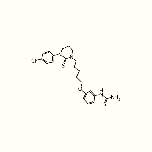 NC(=S)Nc1cccc(OCCCCCN2CCCN(c3ccc(Cl)cc3)C2=S)c1